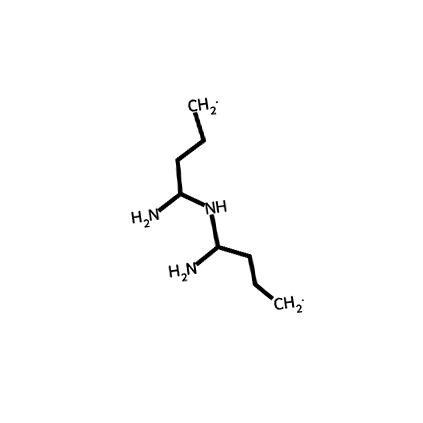 [CH2]CCC(N)NC(N)CC[CH2]